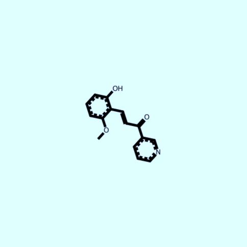 COc1cccc(O)c1/C=C/C(=O)c1cccnc1